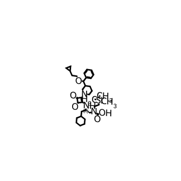 C[Si](C)(C)CCN(C[C@@H](CC1CCCCC1)Nc1c(N2CCCC(C(OCCC3CC3)c3ccccc3)C2)c(=O)c1=O)C(=O)O